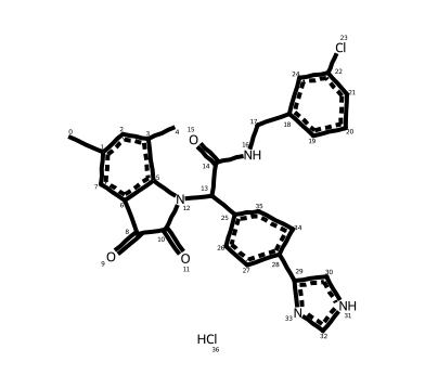 Cc1cc(C)c2c(c1)C(=O)C(=O)N2C(C(=O)NCc1cccc(Cl)c1)c1ccc(-c2c[nH]cn2)cc1.Cl